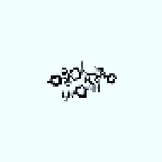 Cc1ccc(S(=O)(=O)N2CCC(Nc3nc(NC4CCC(N)CC4)nc4c3ncn4C3CCCC3)CC2)cc1